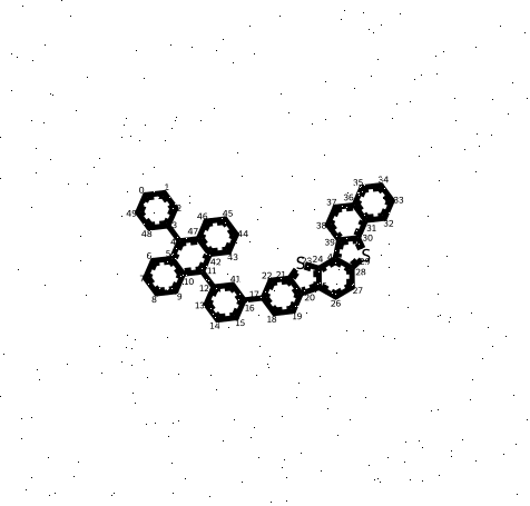 c1ccc(-c2c3ccccc3c(-c3cccc(-c4ccc5c(c4)sc4c5ccc5sc6c7ccccc7ccc6c54)c3)c3ccccc23)cc1